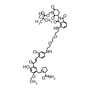 CCOc1cc(O)c(C(=O)/C=C/c2ccc(NCCOCCOCCNc3cccc4c3C(=O)N(C3CCC(=O)N(COC(=O)C(C)(C)C)C3=O)C4=O)cc2Cl)cc1CN1CCC[C@H]1C(N)=O